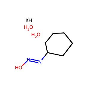 O.O.ON=NC1CCCCC1.[KH]